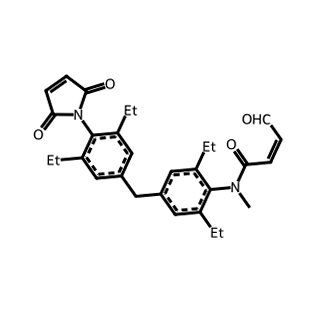 CCc1cc(Cc2cc(CC)c(N3C(=O)C=CC3=O)c(CC)c2)cc(CC)c1N(C)C(=O)/C=C\C=O